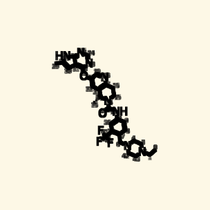 CCN1CCN(Cc2ccc(NC(=O)N3CCc4ncc(Oc5ncnc6[nH]c(C)cc56)cc4[C@H]3C)cc2C(F)(F)F)CC1